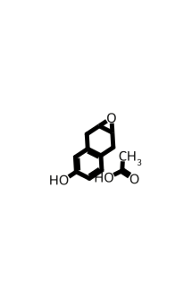 CC(=O)O.Oc1ccc2c(c1)CC1OC1C2